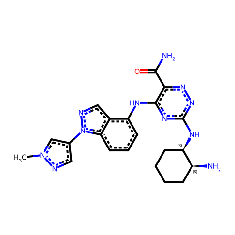 Cn1cc(-n2ncc3c(Nc4nc(N[C@@H]5CCCC[C@@H]5N)nnc4C(N)=O)cccc32)cn1